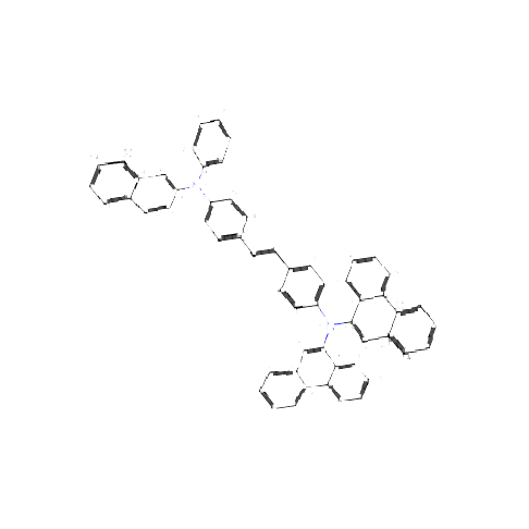 C(=C\c1ccc(N(c2cc3ccccc3c3ccccc23)c2cc3ccccc3c3ccccc23)cc1)/c1ccc(N(c2ccccc2)c2ccc3ccccc3c2)cc1